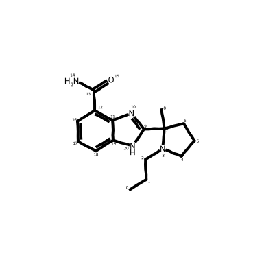 CCCN1CCCC1(C)c1nc2c(C(N)=O)cccc2[nH]1